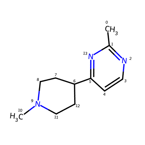 Cc1nccc(C2CCN(C)CC2)n1